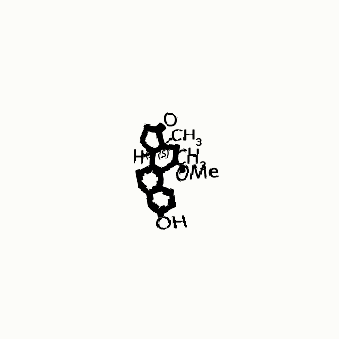 COC.C[C@]12CCc3c(ccc4cc(O)ccc34)[C@@H]1CCC2=O